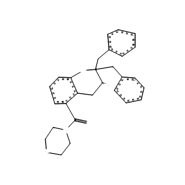 NC1Cc2c(cccc2C(=O)N2CCNCC2)OC1(Cc1ccccc1)Cc1ccccc1